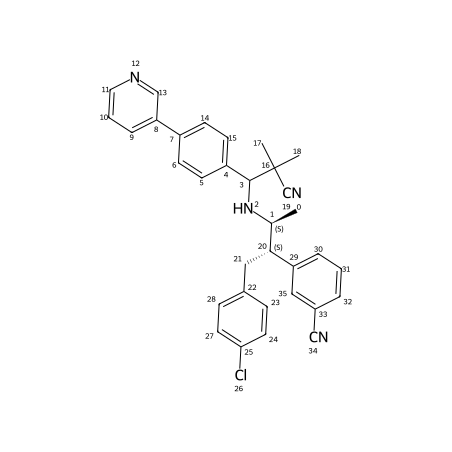 C[C@H](NC(c1ccc(-c2cccnc2)cc1)C(C)(C)C#N)[C@@H](Cc1ccc(Cl)cc1)c1cccc(C#N)c1